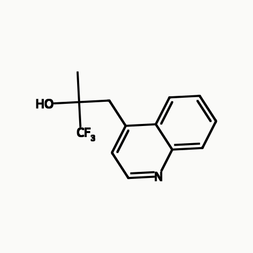 CC(O)(Cc1ccnc2ccccc12)C(F)(F)F